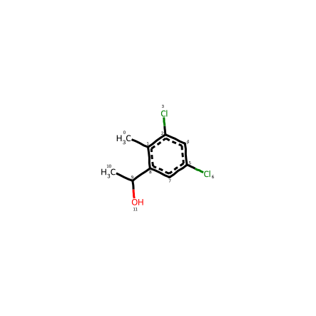 Cc1c(Cl)[c]c(Cl)cc1C(C)O